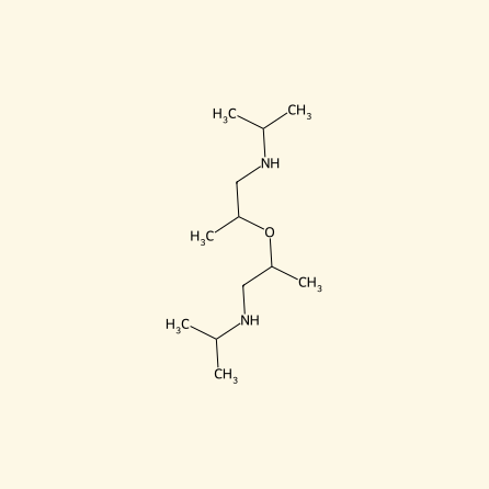 CC(C)NCC(C)OC(C)CNC(C)C